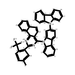 Cc1ccc(C(F)(F)F)c(-c2nc(-n3c4ccccc4c4ccc(-n5c6ccccc6c6ccccc65)cc43)c3ccc4ccccc4c3n2)c1